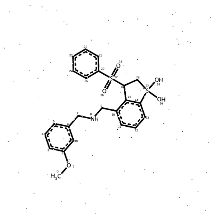 COc1cccc(CNCc2cccc3c2C(S(=O)(=O)c2ccccc2)CS3(O)O)c1